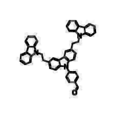 O=Cc1ccc(-n2c3ccc(CCn4c5ccccc5c5ccccc54)cc3c3cc(CCn4c5ccccc5c5ccccc54)ccc32)cc1